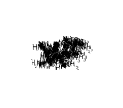 CC(C)[C@H](N)C(=O)N[C@H](C(=O)N[C@@H](CCCNC(=N)N)C(=O)N[C@H](C(=O)N[C@H](C(=O)N[C@@H](CCCNC(=N)N)C(=O)N[C@@H](CCCNC(=N)N)C(=O)N[C@@H](Cc1c[nH]c2ccccc12)C(=O)N[C@H](C(=O)N[C@@H](CCCNC(=N)N)C(=O)N[C@@H](CCCNC(=N)N)C(=O)O)C(C)C)C(C)C)C(C)C)C(C)C